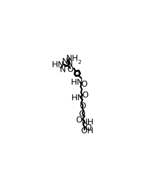 Nc1nc(OCc2ccc(CNC(=O)CCCC(=O)NCCOCCOCC(=O)NCC(=O)O)cc2)c2nc[nH]c2n1